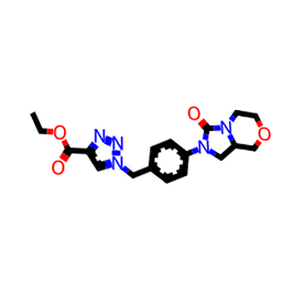 CCOC(=O)c1cn(Cc2ccc(N3CC4COCCN4C3=O)cc2)nn1